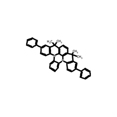 CC1(C)c2cc(-c3ccccc3)ccc2N2c3ccccc3N3c4ccc(-c5ccccc5)cc4C(C)(C)c4ccc1c2c43